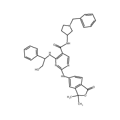 CC1(C)OC(=O)c2ccc(Nc3ncc(C(=O)NC4CCN(Cc5ccccc5)C4)c(NC(CO)c4ccccc4)n3)cc21